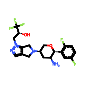 N[C@H]1C[C@@H](N2Cc3cnn(C[C@@H](O)C(F)(F)F)c3C2)CO[C@@H]1c1cc(F)ccc1F